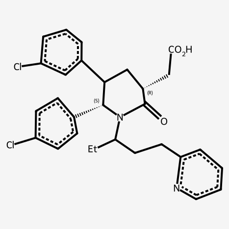 CCC(CCc1ccccn1)N1C(=O)[C@@H](CC(=O)O)CC(c2cccc(Cl)c2)[C@H]1c1ccc(Cl)cc1